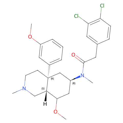 COc1cccc([C@@]23CCN(C)C[C@H]2C(OC)C[C@H](N(C)C(=O)Cc2ccc(Cl)c(Cl)c2)C3)c1